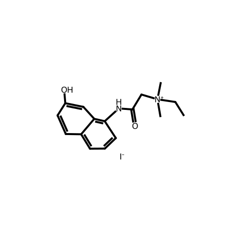 CC[N+](C)(C)CC(=O)Nc1cccc2ccc(O)cc12.[I-]